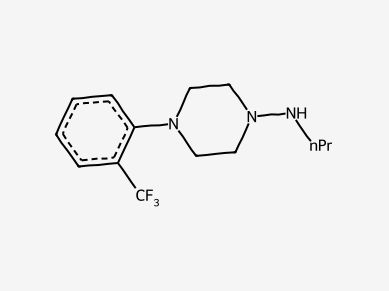 CCCNN1CCN(c2ccccc2C(F)(F)F)CC1